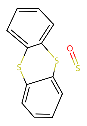 O=S.c1ccc2c(c1)Sc1ccccc1S2